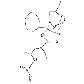 C=CC(=O)OC(C)CC(C)C(=O)OC1(C2CCCCC2)C2CC3CC1CC(C)(C3)C2